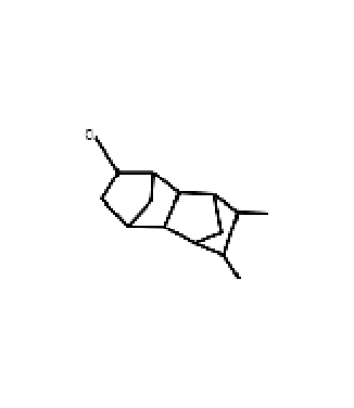 CC1C(C)C2CC1C1C3CC(Cl)C(C3)C21